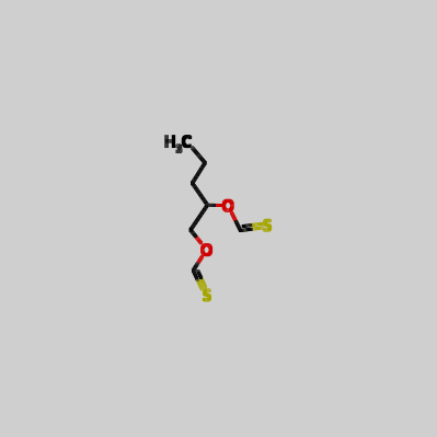 CCCC(COC=S)OC=S